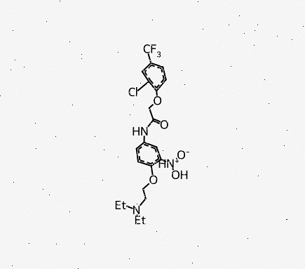 CCN(CC)CCOc1ccc(NC(=O)COc2ccc(C(F)(F)F)cc2Cl)cc1[NH+]([O-])O